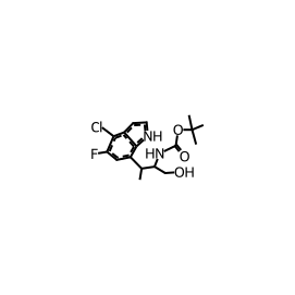 CC(c1cc(F)c(Cl)c2cc[nH]c12)C(CO)NC(=O)OC(C)(C)C